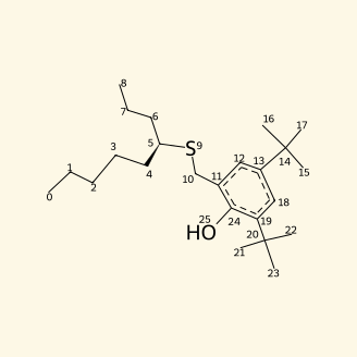 CCCCC[C@@H](CCC)SCc1cc(C(C)(C)C)cc(C(C)(C)C)c1O